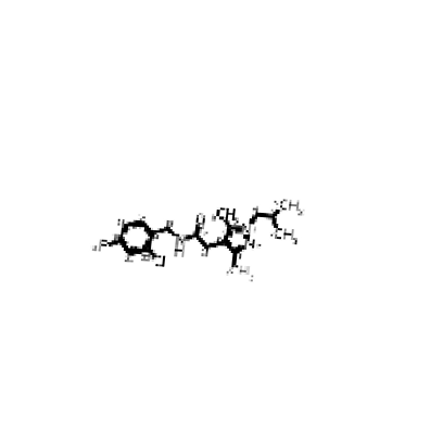 Cc1nn(CC(C)C)c(C)c1CC(=O)NCc1ccc(F)cc1Cl